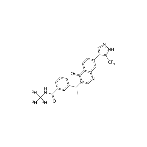 [2H]C([2H])([2H])NC(=O)c1cccc([C@@H](C)n2cnc3cc(-c4cn[nH]c4C(F)(F)F)ccc3c2=O)c1